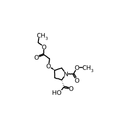 CCOC(=O)CO[C@@H]1C[C@@H](C(=O)O)N(C(=O)OC)C1